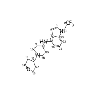 FC(F)(F)Cn1ccc2c(NC3CCN(C4CCOCC4)CC3)cccc21